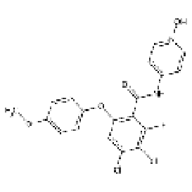 O=C(Nc1cc[n+](O)cc1)c1c(Oc2ccc(OC(F)(F)F)cc2)cc(Cl)c(Cl)c1F